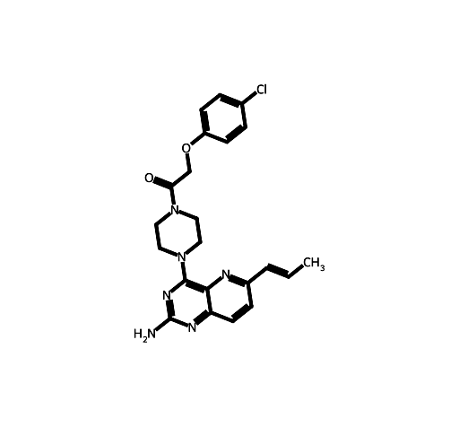 CC=Cc1ccc2nc(N)nc(N3CCN(C(=O)COc4ccc(Cl)cc4)CC3)c2n1